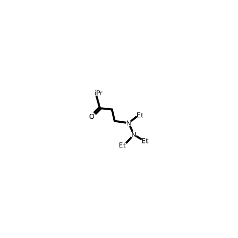 CCN(CC)N(CC)CCC(=O)C(C)C